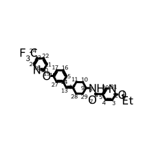 CCOc1ccc(C(=O)NC2CCC(=Cc3cccc(Oc4ccc(C(F)(F)F)cn4)c3)CC2)cn1